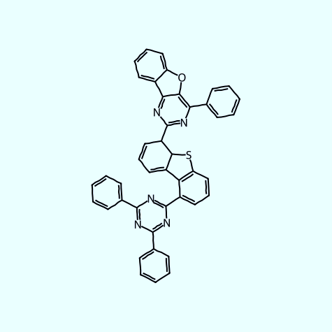 C1=CC(c2nc(-c3ccccc3)c3oc4ccccc4c3n2)C2Sc3cccc(-c4nc(-c5ccccc5)nc(-c5ccccc5)n4)c3C2=C1